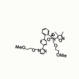 COCCOCN(c1onc(C)c1C)S(=O)(=O)c1ccccc1-c1ccc(-c2nccn2COCCOC)cc1